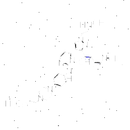 C=N/C=C\C=C(/C)c1nn(CCNC)cc1-c1ccnc(NC2C=CC(N3CCN(CCOC)CC3)=CC2)n1